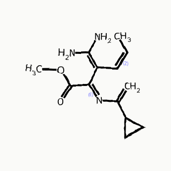 C=C(/N=C(/C(=O)OC)C(/C=C\C)=C(N)N)C1CC1